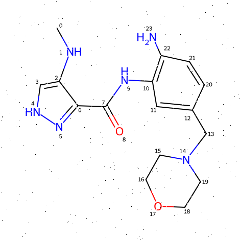 CNc1c[nH]nc1C(=O)Nc1cc(CN2CCOCC2)ccc1N